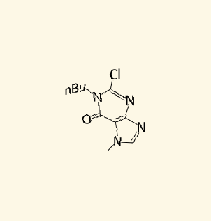 CCCCn1c(Cl)nc2ncn(C)c2c1=O